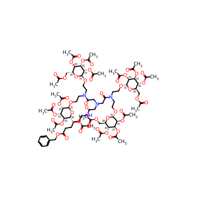 CC(=O)OC[C@H]1O[C@H](OCCN(CCO[C@H]2O[C@H](COC(C)=O)[C@@H](OC(C)=O)[C@H](OC(C)=O)[C@@H]2OC(C)=O)C(=O)CN(CC(=O)NCCCCCC(=O)OCc2ccccc2)CC(=O)N(CCO[C@H]2O[C@H](COC(C)=O)[C@@H](OC(C)=O)[C@H](OC(C)=O)[C@@H]2OC(C)=O)CCO[C@H]2O[C@H](COC(C)=O)[C@@H](OC(C)=O)[C@H](OC(C)=O)[C@@H]2OC(C)=O)[C@@H](OC(C)=O)[C@@H](OC(C)=O)[C@@H]1OC(C)=O